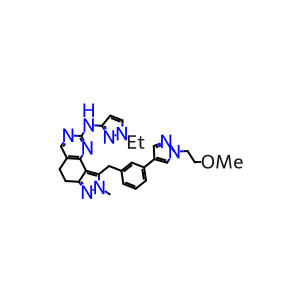 CCn1ccc(Nc2ncc3c(n2)-c2c(nn(C)c2Cc2cccc(-c4cnn(CCOC)c4)c2)CC3)n1